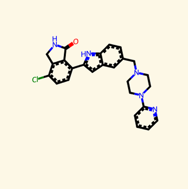 O=C1NCc2c(Cl)ccc(-c3cc4cc(CN5CCN(c6ccccn6)CC5)ccc4[nH]3)c21